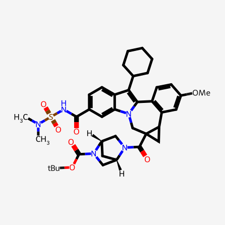 COc1ccc2c(c1)C1CC1(C(=O)N1C[C@@H]3C[C@H]1CN3C(=O)OC(C)(C)C)Cn1c-2c(C2CCCCC2)c2ccc(C(=O)NS(=O)(=O)N(C)C)cc21